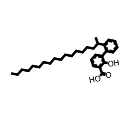 CCCCCCCCCCCCCCCCC(C)c1ccccc1-c1cccc(C(=O)O)c1O